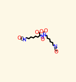 O=C=NCCCCCCC1C(=O)OC(=O)N(CCCCCCN=C=O)[N+]1=O